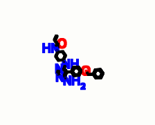 C=CC(=O)NC1CCC(Nc2ncnc(N)c2-c2ccc(OCc3ccccc3)cc2)CC1